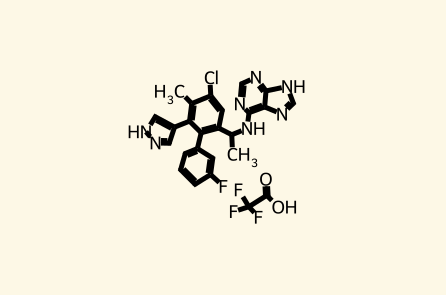 Cc1c(Cl)cc(C(C)Nc2ncnc3[nH]cnc23)c(-c2cccc(F)c2)c1-c1cn[nH]c1.O=C(O)C(F)(F)F